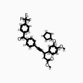 COC(=O)CC(C#Cc1ccc(C(=O)c2ccc(C(F)(F)F)cc2)cc1)c1ccc(OC)c(OC2CCCC2)c1